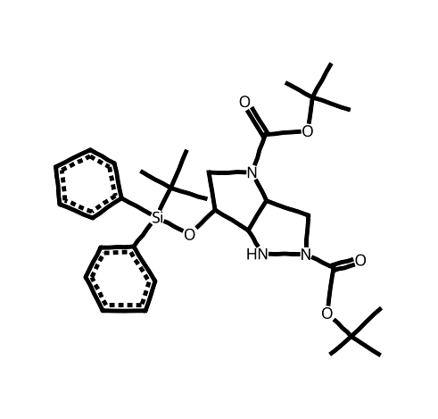 CC(C)(C)OC(=O)N1CC2C(N1)C(O[Si](c1ccccc1)(c1ccccc1)C(C)(C)C)CN2C(=O)OC(C)(C)C